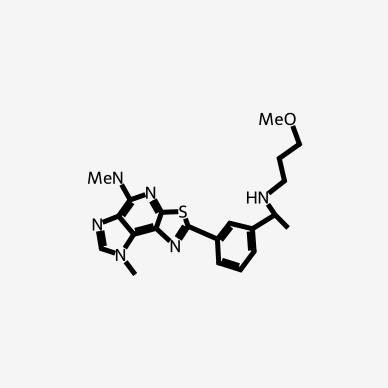 CNc1nc2sc(-c3cccc(C(C)NCCCOC)c3)nc2c2c1ncn2C